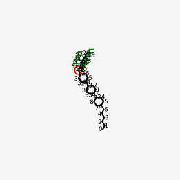 CCCCCC[C@H]1CC[C@H](C2CCC(C3=CCC(OC(F)(F)C(F)(F)C(F)(F)CF)C=C3)CC2)CC1